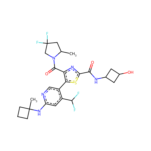 CC1CC(F)(F)CN1C(=O)c1nc(C(=O)NC2CC(O)C2)sc1-c1cnc(NC2(C)CCC2)cc1C(F)F